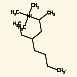 [CH2]CCCC(CC)CC(C)[N+](C)(C)C